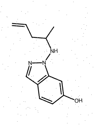 C=CCC(C)Nn1ncc2ccc(O)cc21